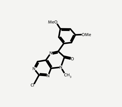 COc1cc(OC)cc(-c2nc3cnc(Cl)nc3n(C)c2=O)c1